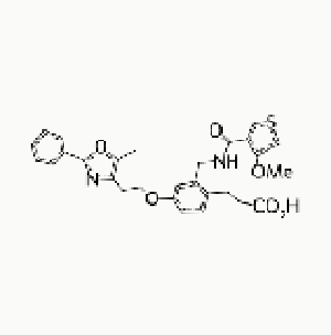 COc1cscc1C(=O)NCc1cc(OCCc2nc(-c3ccccc3)oc2C)ccc1CCC(=O)O